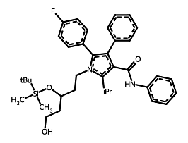 CC(C)c1c(C(=O)Nc2ccccc2)c(-c2ccccc2)c(-c2ccc(F)cc2)n1CCC(CCO)O[Si](C)(C)C(C)(C)C